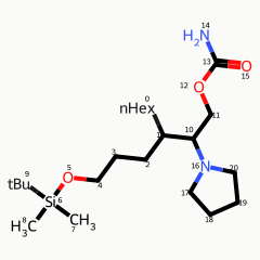 CCCCCCC(CCCO[Si](C)(C)C(C)(C)C)C(COC(N)=O)N1CCCC1